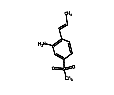 CC=Cc1ccc(S(C)(=O)=O)cc1N